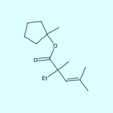 CCC(C)(C=C(C)C)C(=O)OC1(C)CCCC1